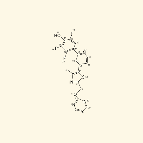 Cc1nc(COc2ncccn2)sc1-c1ccnc(-c2cc(F)c(O)c(F)c2F)c1